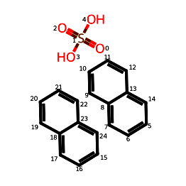 O=S(=O)(O)O.c1ccc2ccccc2c1.c1ccc2ccccc2c1